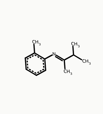 C/C(=N\c1ccccc1C)C(C)C